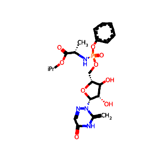 C=C1NC(=O)C=NN1[C@@H]1O[C@H](CO[P@@](=O)(N[C@@H](C)C(=O)OC(C)C)Oc2ccccc2)C(O)[C@@H]1O